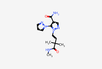 CNC(=O)C(C)(C)/C=C/n1ncc(C(N)=O)c1-n1cccn1